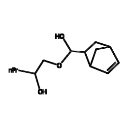 CCCC(O)COC(O)C1CC2C=CC1C2